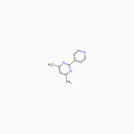 Cc1cc(C)nc(-c2ccncc2)n1